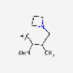 CNC(C)C(C)CN1CCC1